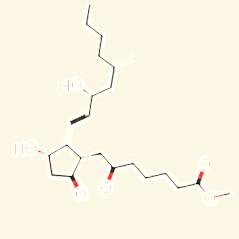 CCCC[C@H](C)C[C@H](O)/C=C/[C@H]1[C@H](O)CC(=O)[C@@H]1CC(=O)CCCCC(=O)OC